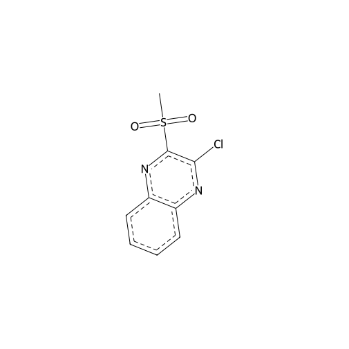 CS(=O)(=O)c1nc2ccccc2nc1Cl